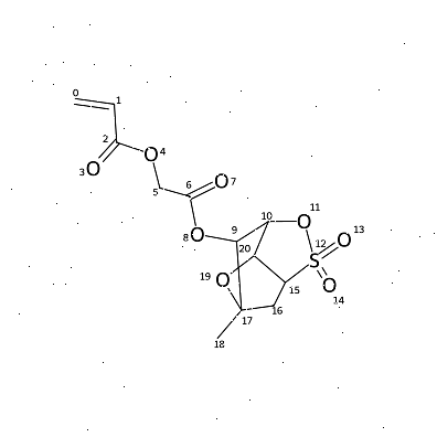 C=CC(=O)OCC(=O)OC1C2OS(=O)(=O)C3CC1(C)OC23